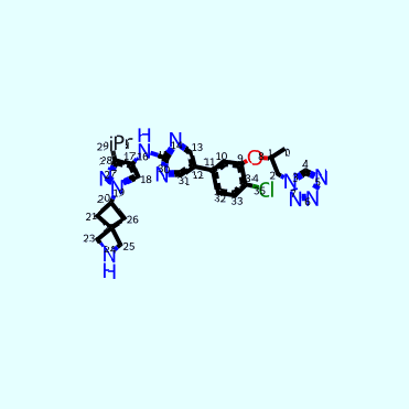 CC(Cn1cnnn1)Oc1cc(-c2cnc(Nc3cn(C4CC5(CNC5)C4)nc3C(C)C)nc2)ccc1Cl